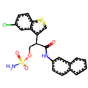 NS(=O)(=O)OCC(C(=O)Nc1ccc2ccccc2c1)c1csc2ccc(Cl)cc12